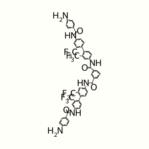 Nc1ccc(C(=O)Nc2ccc(-c3ccc(NC(=O)c4cccc(C(=O)Nc5ccc(-c6ccc(NC(=O)c7ccc(N)cc7)cc6C(F)(F)F)c(C(F)(F)F)c5)c4)cc3C(F)(F)F)c(C(F)(F)F)c2)cc1